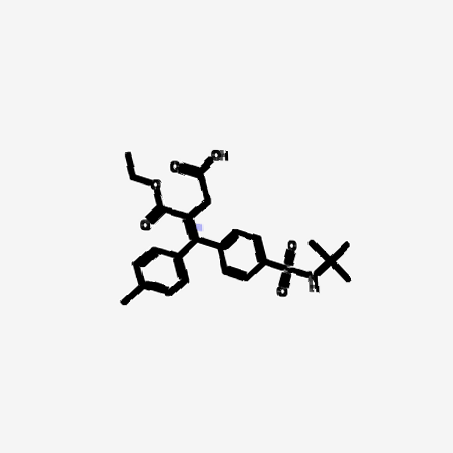 CCOC(=O)/C(CC(=O)O)=C(\c1ccc(C)cc1)c1ccc(S(=O)(=O)NC(C)(C)C)cc1